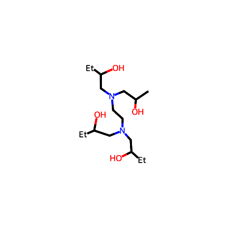 CCC(O)CN(CCN(CC(O)CC)CC(O)CC)CC(C)O